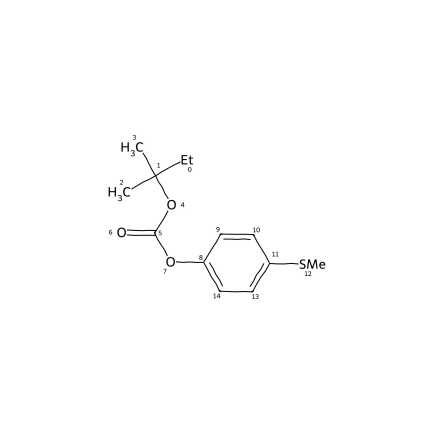 CCC(C)(C)OC(=O)Oc1ccc(SC)cc1